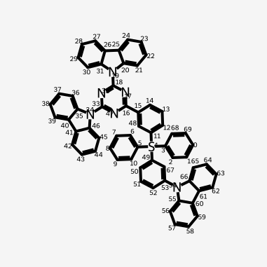 c1ccc(S(c2ccccc2)(c2cccc(-c3nc(-n4c5ccccc5c5ccccc54)nc(-n4c5ccccc5c5ccccc54)n3)c2)c2cccc(-n3c4ccccc4c4ccccc43)c2)cc1